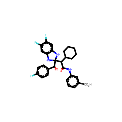 O=C(O)c1cccc(NC(=O)C(C2CCCCC2)C2(C(O)c3ccc(F)cc3)Nc3cc(F)c(F)cc3N2)c1